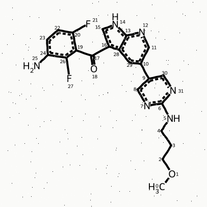 COCCCNc1ncc(-c2cnc3[nH]cc(C(=O)c4c(F)ccc(N)c4F)c3c2)cn1